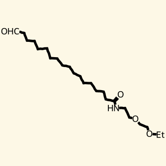 CCOCCOCCNC(=O)CCCCCCCCCCCCCCCCC=O